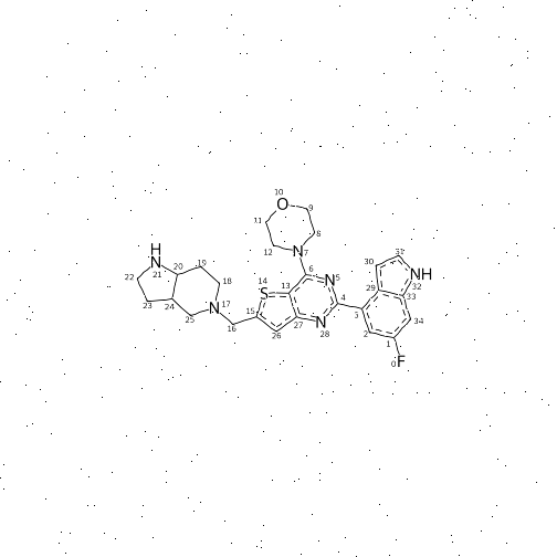 Fc1cc(-c2nc(N3CCOCC3)c3sc(CN4CCC5NCCC5C4)cc3n2)c2cc[nH]c2c1